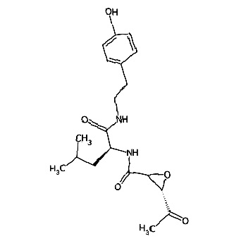 CC(=O)[C@H]1OC1C(=O)N[C@@H](CC(C)C)C(=O)NCCc1ccc(O)cc1